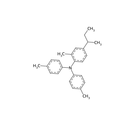 CCC(C)c1ccc(N(c2ccc(C)cc2)c2ccc(C)cc2)c(C)c1